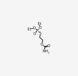 CCOP(=O)(OCC)SCCOC(N)=O